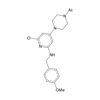 COc1ccc(CNc2cc(N3CCN(C(C)=O)CC3)cc(Cl)n2)cc1